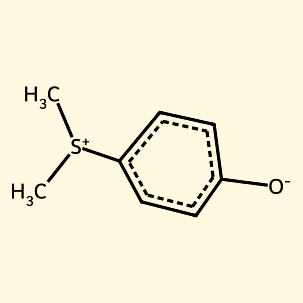 C[S+](C)c1ccc([O-])cc1